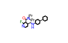 CC(C)N(C(=O)c1c(CNc2ccc(-c3ccccc3)cc2)ccnc1F)C(C)C